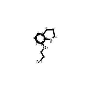 BrCCOc1cccc2c1SCCC2